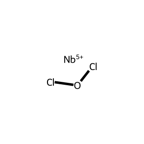 ClOCl.[Nb+5]